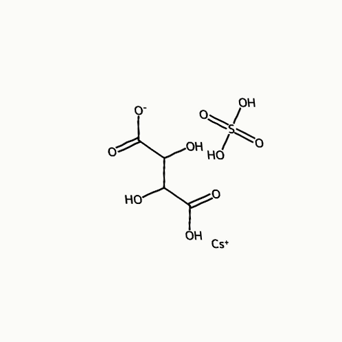 O=C([O-])C(O)C(O)C(=O)O.O=S(=O)(O)O.[Cs+]